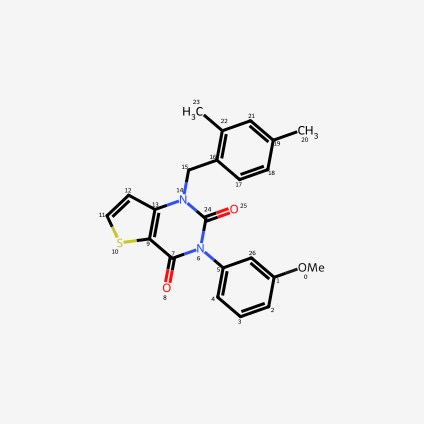 COc1cccc(-n2c(=O)c3sccc3n(Cc3ccc(C)cc3C)c2=O)c1